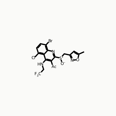 CC(=O)c1c([S+]([O-])Cc2cc(C)on2)nc2c(Br)ccc(Cl)c2c1NCC(F)(F)F